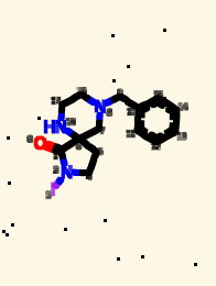 O=C1N(I)CCC12CN(Cc1ccccc1)CCN2